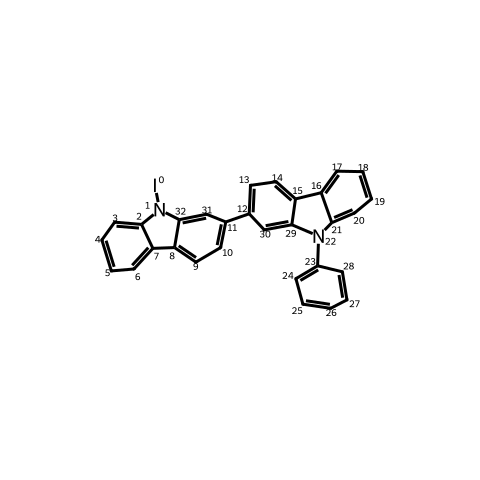 In1c2ccccc2c2ccc(-c3ccc4c5ccccc5n(-c5ccccc5)c4c3)cc21